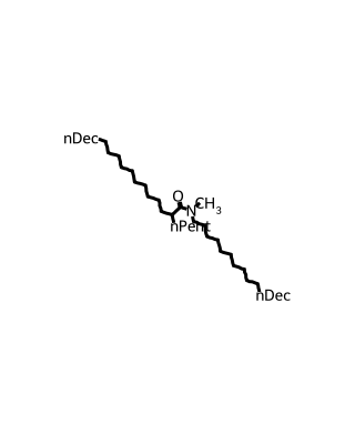 CCCCCCCCCCCCCCCCCCCCC(CCCCC)C(=O)N(C)CCCCCCCCCCCCCCCCCCCC